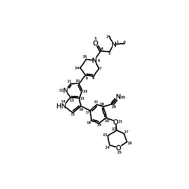 CN(C)CC(=O)N1CC=C(c2cnc3[nH]cc(-c4ccc(OC5CCOCC5)c(C#N)c4)c3c2)CC1